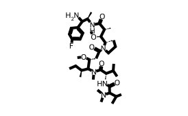 CC[C@H](C)C([C@@H](CC(=O)N1CCC[C@H]1[C@H](OC)[C@@H](C)C(=O)N[C@H](C)C(N)c1ccc(F)cc1)OC)N(C)C(=O)[C@@H](NC(=O)C(C(C)C)N(C)C)C(C)C